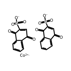 O=C1C=C(S(=O)(=O)[O-])C(=O)c2ccccc21.O=C1C=C(S(=O)(=O)[O-])C(=O)c2ccccc21.[Co+2]